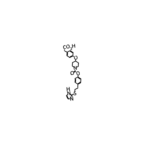 O=C(O)Cc1ccc(OC2CCN(C(=O)Oc3ccc(CCSc4ncc[nH]4)cc3)CC2)cc1